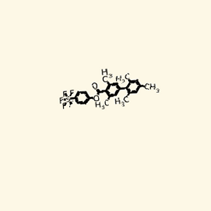 Cc1cc(C)c(-c2cc(C)c(C(=O)Oc3ccc(S(F)(F)(F)(F)F)cc3)c(C)c2)c(C)c1